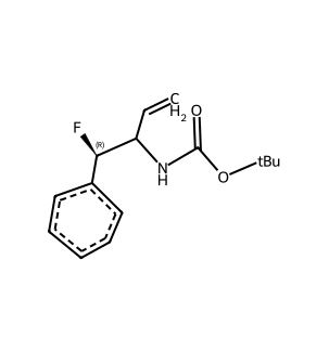 C=CC(NC(=O)OC(C)(C)C)[C@H](F)c1ccccc1